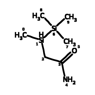 C[SiH](CC(N)=O)[Si](C)(C)C